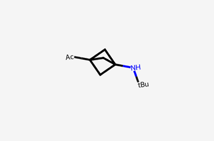 CC(=O)C12CC(NC(C)(C)C)(C1)C2